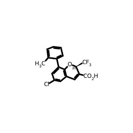 Cc1ccccc1-c1cc(Cl)cc2c1O[C@@H](C(F)(F)F)C(C(=O)O)=C2